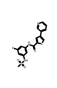 CS(=O)(=O)Nc1cc(F)cc(NC(=O)c2cc(-c3cccnc3)cs2)c1